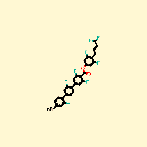 CCCc1ccc(-c2ccc(-c3cc(F)c(C(=O)Oc4cc(F)c(C/C=C/C(F)F)c(F)c4)c(F)c3)c(F)c2)c(F)c1